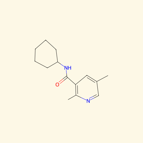 Cc1cnc(C)c(C(=O)NC2CCCCC2)c1